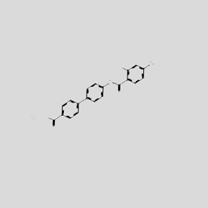 COC(=O)c1ccc(-c2ccc(NC(=O)c3ccc([N+](=O)[O-])cc3O)cc2)cc1